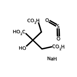 O=C(O)CC(O)(CC(=O)O)C(=O)O.O=S=O.[NaH]